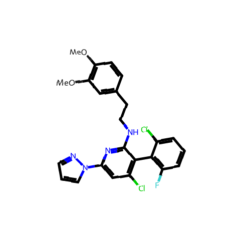 COc1ccc(CCNc2nc(-n3cccn3)cc(Cl)c2-c2c(F)cccc2Cl)cc1OC